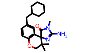 CN1C(=O)C2(N=C1N)c1cc(CC3CCCCC3)ccc1OCC2(C)C